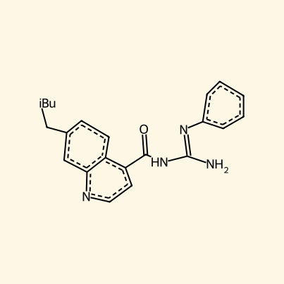 CCC(C)Cc1ccc2c(C(=O)NC(N)=Nc3ccccc3)ccnc2c1